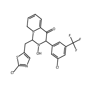 O=C1C2=CC=CCN2C(Cc2cnc(Cl)s2)N(O)C1c1cc(Cl)cc(C(F)(F)F)c1